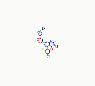 CCn1c(C)nc2cc(C3=CC(c4cnn(C5CC5)c4)OCC3)nc(-c3ccc(Cl)cc3F)c2c1=O